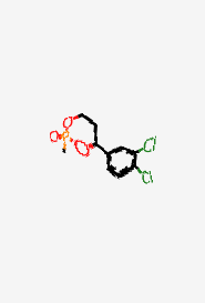 CP1(=O)OCCC(c2ccc(Cl)c(Cl)c2)O1